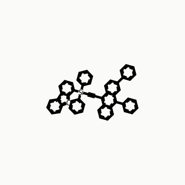 C(#C[Si](c1ccccc1)(c1ccccc1)c1cccc2c1oc1ccccc12)c1c2ccccc2c(-c2ccccc2)c2cc(-c3ccccc3)ccc12